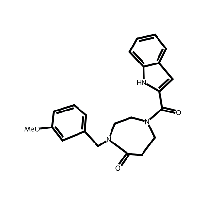 COc1cccc(CN2CCN(C(=O)c3cc4ccccc4[nH]3)CCC2=O)c1